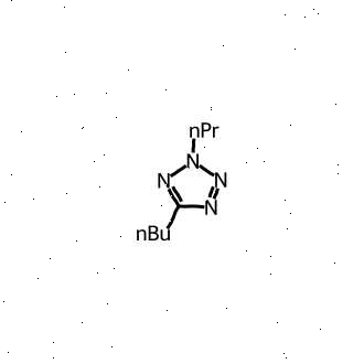 CCCCc1nnn(CCC)n1